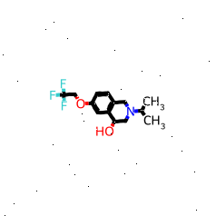 CC(C)N1Cc2ccc(OCC(F)(F)F)cc2C(O)C1